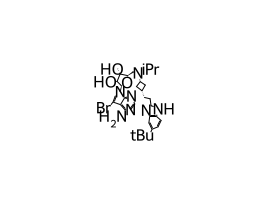 CC(C)N(C[C@H]1O[C@@H](n2cc(Br)c3c(N)ncnc32)[C@H](O)[C@@H]1O)[C@H]1C[C@@H](CCc2nc3cc(C(C)(C)C)ccc3[nH]2)C1